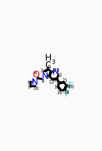 Cc1cn(CC(=O)N2CCC2)c2cc(-c3ccc(F)c(F)c3)cnc12